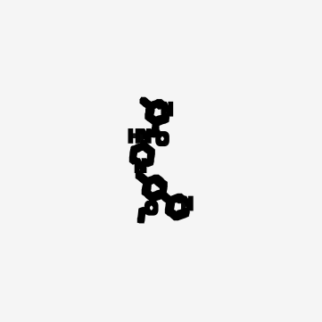 CCOc1cc(CN2CCC(NC(=O)c3cncc(C)c3)CC2)ccc1-c1cccnc1